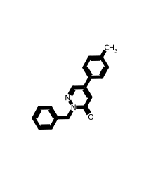 Cc1ccc(-c2cnn(Cc3ccccc3)c(=O)c2)cc1